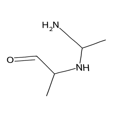 CC(N)NC(C)C=O